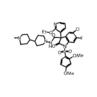 CCOc1ncccc1C1(C(=O)NN2CCC(C3CCN(C)CC3)CC2)C(=O)N(S(=O)(=O)c2ccc(OC)cc2OC)c2cc(F)c(Cl)cc21